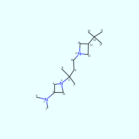 CN(C)C1CN(C(C)(C)CCN2CC(C(C)(C)C)C2)C1